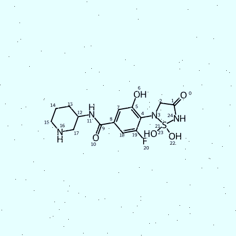 O=C1CN(c2c(O)cc(C(=O)NC3CCCNC3)cc2F)S(O)(O)N1